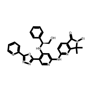 CCN1C(=O)c2ccc(Nc3cc(N[C@H](CO)c4ccccc4)c(-c4nnc(-c5ccccn5)o4)cn3)nc2C1(C)C